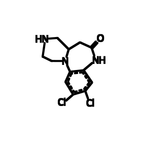 O=C1CC2CNCCN2c2cc(Cl)c(Cl)cc2N1